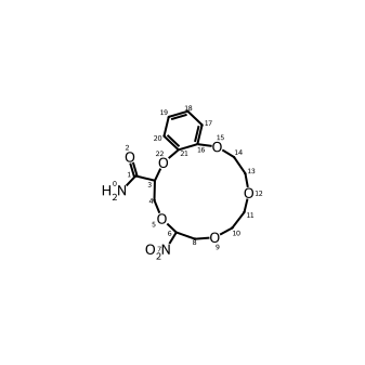 NC(=O)C1COC([N+](=O)[O-])COCCOCCOc2ccccc2O1